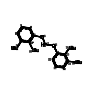 CC(C)(C)c1cccc(OPOc2cccc(C(C)(C)C)c2C(C)(C)C)c1C(C)(C)C